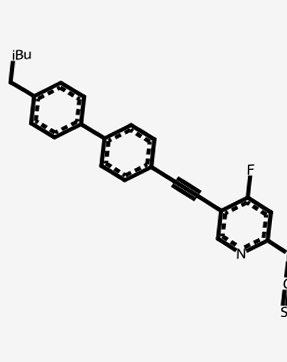 CCC(C)Cc1ccc(-c2ccc(C#Cc3cnc(N=C=S)cc3F)cc2)cc1